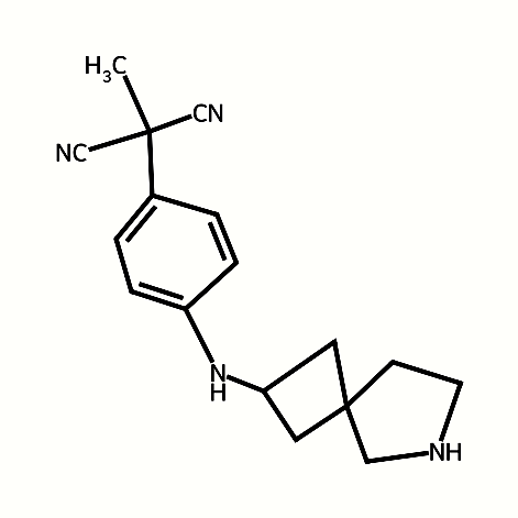 CC(C#N)(C#N)c1ccc(NC2CC3(CCNC3)C2)cc1